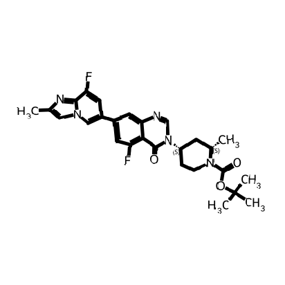 Cc1cn2cc(-c3cc(F)c4c(=O)n([C@H]5CCN(C(=O)OC(C)(C)C)[C@@H](C)C5)cnc4c3)cc(F)c2n1